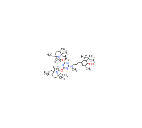 CCC1(C)CCC(C)C(C)(CC)N1C(C)Oc1nc(OC(C)N2C(C)(CC)CCC(C)C2(C)CC)nc(N(C)CCCc2cc(C)c(O)c(C(C)(C)C)c2)n1